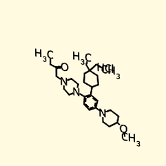 CCC(=O)CN1CCN(c2ccc(N3CCC(OC)CC3)cc2C2CCC(CC)(CC)CC2)CC1.Cl